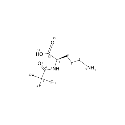 NCCC[C@@H](NC(=O)C(F)(F)F)C(=O)O